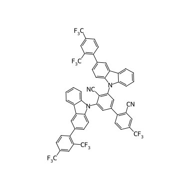 N#Cc1cc(C(F)(F)F)ccc1-c1cc(-n2c3ccccc3c3cc(-c4ccc(C(F)(F)F)cc4C(F)(F)F)ccc32)c(C#N)c(-n2c3ccccc3c3cc(-c4ccc(C(F)(F)F)cc4C(F)(F)F)ccc32)c1